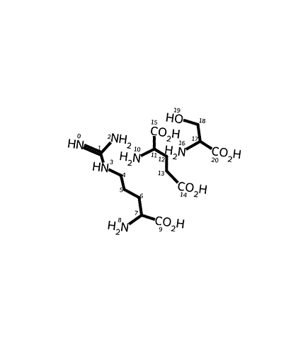 N=C(N)NCCCC(N)C(=O)O.NC(CCC(=O)O)C(=O)O.NC(CO)C(=O)O